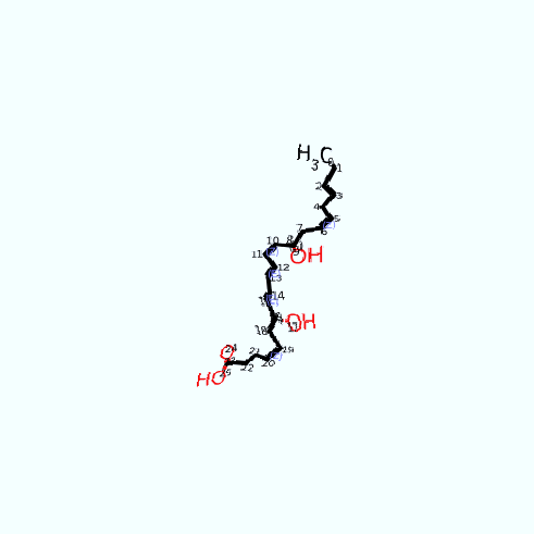 CCC=CC/C=C\C[C@H](O)\C=C/C=C/C=C/[C@H](O)C/C=C\CCC(=O)O